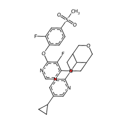 CS(=O)(=O)c1ccc(Oc2ncnc(OC3C4COCC3CN(c3ncc(C5CC5)cn3)C4)c2F)c(F)c1